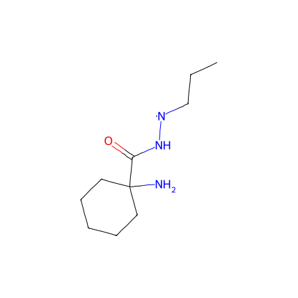 CCC[N]NC(=O)C1(N)CCCCC1